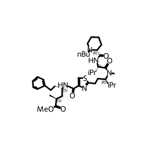 CCCCN1CCCC[C@@H]1C(=O)N[C@H](C(=O)N(C)[C@H](CCc1nc(C(=O)N[C@@H](CCc2ccccc2)C[C@H](C)C(=O)OC)cs1)C(C)C)C(C)C